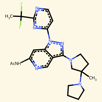 CC(=O)Nc1cc2c(cn1)c(N1CCC(C)(N3CCCC3)C1)nn2-c1ccnc(C(C)(F)F)n1